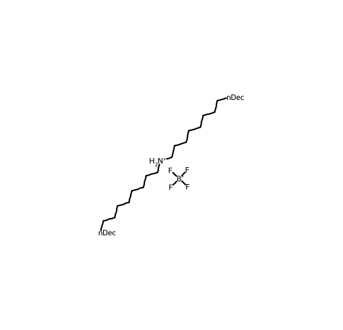 CCCCCCCCCCCCCCCCCC[NH2+]CCCCCCCCCCCCCCCCCC.F[B-](F)(F)F